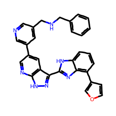 c1ccc(CNCc2cncc(-c3cnc4[nH]nc(-c5nc6c(-c7ccoc7)cccc6[nH]5)c4c3)c2)cc1